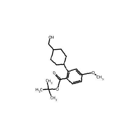 COc1ccc(C(=O)OC(C)(C)C)c(C2CCC(CO)CC2)c1